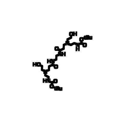 CC(C)(C)OC(=O)NCCN(CCO)CCC(=O)NCCNC(=O)CCN(CCO)CCNC(=O)OC(C)(C)C